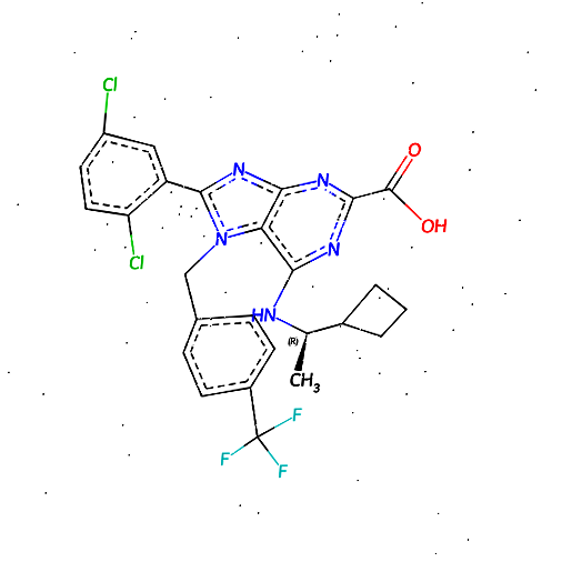 C[C@@H](Nc1nc(C(=O)O)nc2nc(-c3cc(Cl)ccc3Cl)n(Cc3ccc(C(F)(F)F)cc3)c12)C1CCC1